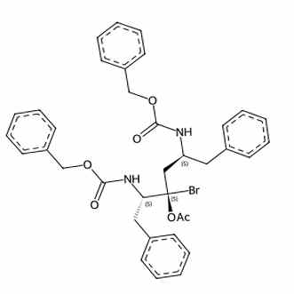 CC(=O)O[C@](Br)(C[C@H](Cc1ccccc1)NC(=O)OCc1ccccc1)[C@H](Cc1ccccc1)NC(=O)OCc1ccccc1